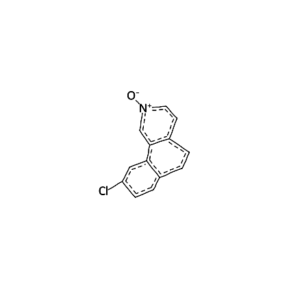 [O-][n+]1ccc2ccc3ccc(Cl)cc3c2c1